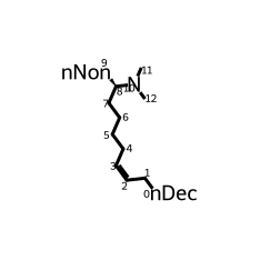 CCCCCCCCCCC/C=C\CCCC[C@@H](CCCCCCCCC)N(C)C